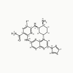 NC(=O)c1cc(F)c(N[C@@H]2CCCC[C@@H]2N)nc1Nc1ccc2cc(-n3cccn3)cnc2c1